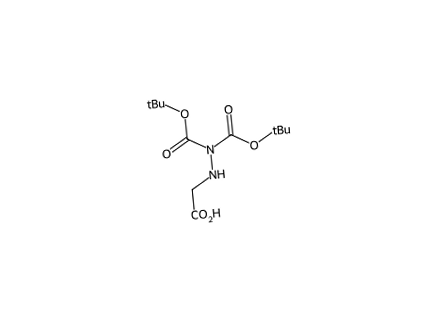 CC(C)(C)OC(=O)N(NCC(=O)O)C(=O)OC(C)(C)C